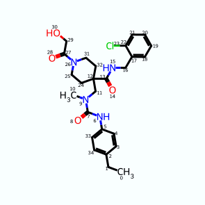 CCc1ccc(NC(=O)N(C)CC2(C(=O)NCc3ccccc3Cl)CCN(C(=O)CO)CC2)cc1